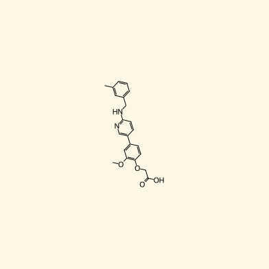 COc1cc(-c2ccc(NCc3cccc(C)c3)nc2)ccc1OCC(=O)O